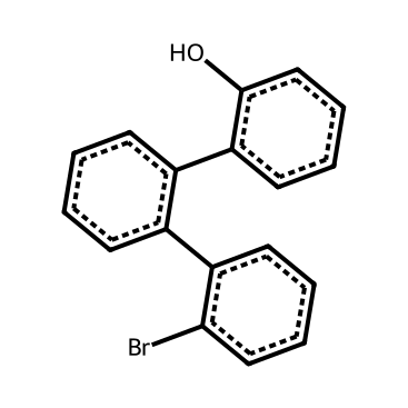 Oc1ccccc1-c1ccccc1-c1ccccc1Br